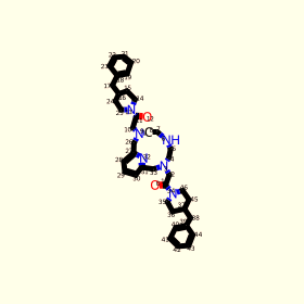 O=C(CN1CCNCCN(CC(=O)N2CCC(Cc3ccccc3)CC2)Cc2cccc(n2)C1)N1CCC(Cc2ccccc2)CC1